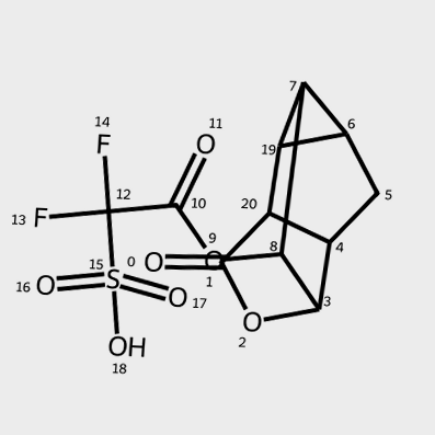 O=C1OC2C3CC4C(C2OC(=O)C(F)(F)S(=O)(=O)O)C4C13